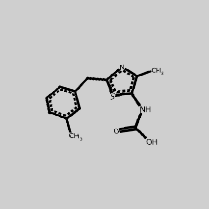 Cc1cccc(Cc2nc(C)c(NC(=O)O)s2)c1